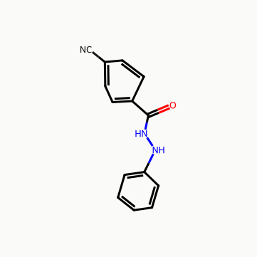 N#Cc1ccc(C(=O)NNc2ccccc2)cc1